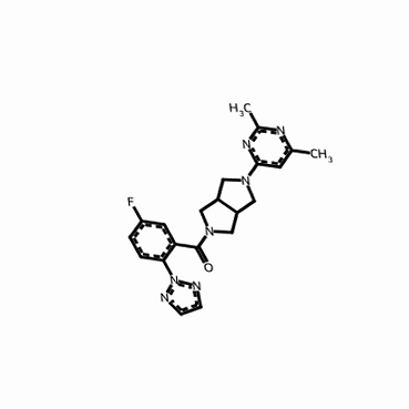 Cc1cc(N2CC3CN(C(=O)c4cc(F)ccc4-n4nccn4)CC3C2)nc(C)n1